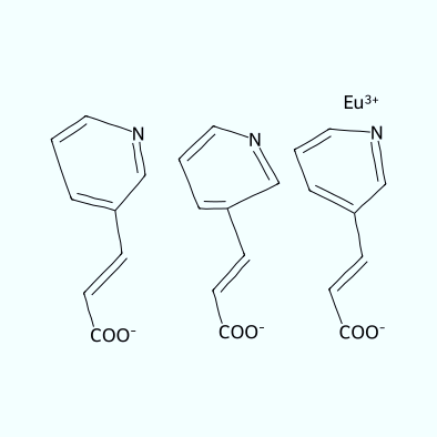 O=C([O-])C=Cc1cccnc1.O=C([O-])C=Cc1cccnc1.O=C([O-])C=Cc1cccnc1.[Eu+3]